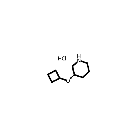 C1CC(O[C@@H]2CCCNC2)C1.Cl